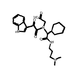 CN(C)CCCNC(=O)C(C1CCCCC1)N(CC(=O)O)C(=O)C(=O)c1c[nH]c2ccccc12